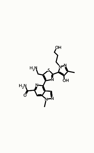 Cc1nn(CCCO)c(-c2nc(-c3nc(C(N)=O)cc4c3cnn4C)c(CN)s2)c1O